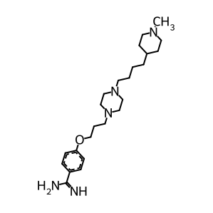 CN1CCC(CCCCN2CCN(CCCOc3ccc(C(=N)N)cc3)CC2)CC1